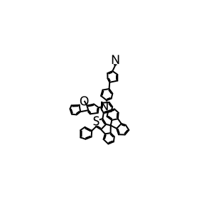 N#Cc1ccc(-c2ccc(N(c3ccc4c(c3)C3(c5ccccc5-4)c4ccccc4-c4c(-c5ccccc5)sc(-c5ccccc5)c43)c3ccc4c(c3)oc3ccccc34)cc2)cc1